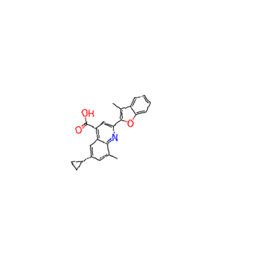 Cc1c(-c2cc(C(=O)O)c3cc(C4CC4)cc(C)c3n2)oc2ccccc12